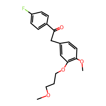 COCCCOc1cc(CC(=O)c2ccc(F)cc2)ccc1OC